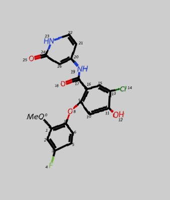 COc1cc(F)ccc1Oc1cc(O)c(Cl)cc1C(=O)Nc1cc[nH]c(=O)c1